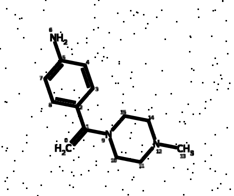 C=C(c1ccc(N)cc1)N1CCN(C)CC1